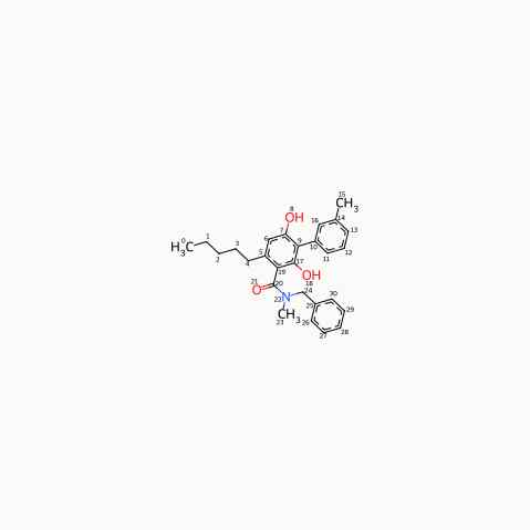 CCCCCc1cc(O)c(-c2cccc(C)c2)c(O)c1C(=O)N(C)Cc1ccccc1